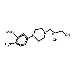 COc1cc(N2CCN(C[C@@H](O)CO)CC2)ccc1N